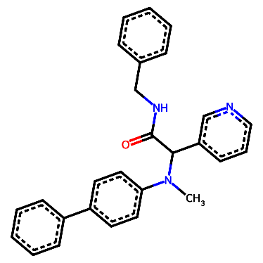 CN(c1ccc(-c2ccccc2)cc1)C(C(=O)NCc1ccccc1)c1cccnc1